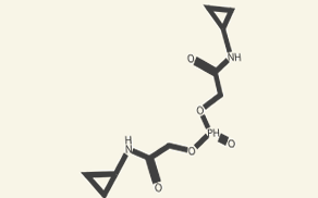 O=C(CO[PH](=O)OCC(=O)NC1CC1)NC1CC1